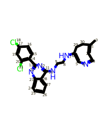 C\C1=C/C=N\C=C(\NCCNc2nc(-c3ccc(Cl)cc3Cl)nc3ccccc23)CC1